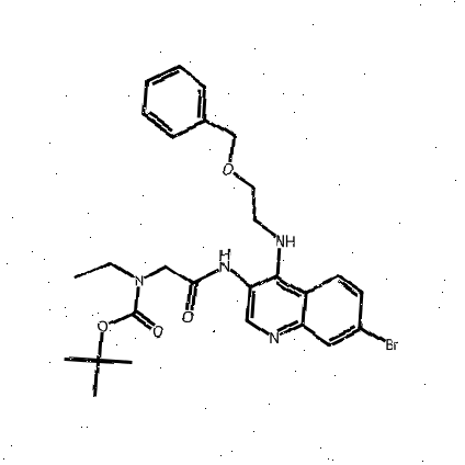 CCN(CC(=O)Nc1cnc2cc(Br)ccc2c1NCCOCc1ccccc1)C(=O)OC(C)(C)C